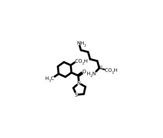 CC1CCC(C(=O)O)C(C(=O)N2CCSC2)C1.NCCCC[C@H](N)C(=O)O